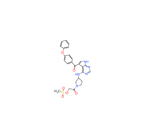 CS(=O)(=O)OCC(=O)N1CCC(Nc2ncnc3[nH]cc(C(=O)c4ccc(Oc5ccccc5)cc4)c23)C1